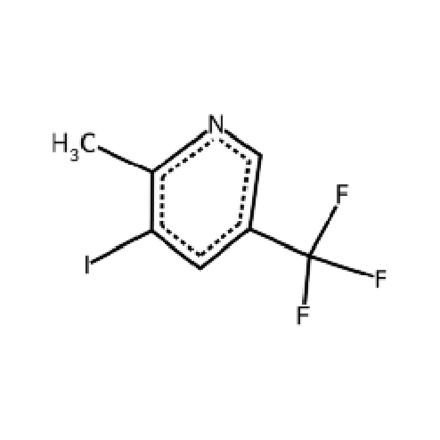 Cc1ncc(C(F)(F)F)cc1I